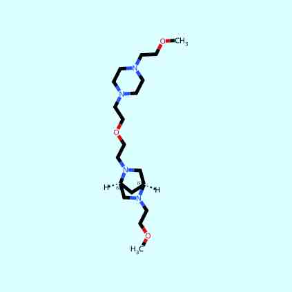 COCCN1CCN(CCOCCN2C[C@@H]3C[C@H]2CN3CCOC)CC1